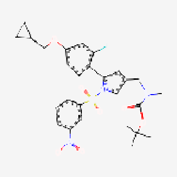 CN(Cc1cc(-c2ccc(OCC3CC3)cc2F)n(S(=O)(=O)c2cccc([N+](=O)[O-])c2)c1)C(=O)OC(C)(C)C